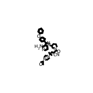 CC(C)(C=C(C#N)C(=O)N1CCCC(n2nc(-c3ccc(Oc4ccccc4)cc3)c3c(N)nccc32)C1)N1CCN(C2COC2)CC1